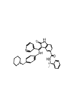 C[C@H](NC(=O)c1ccc2c(c1)C(=C(Nc1ccc(CN3CCCCC3)cc1)c1cccnc1)C(=O)N2)c1ccccc1